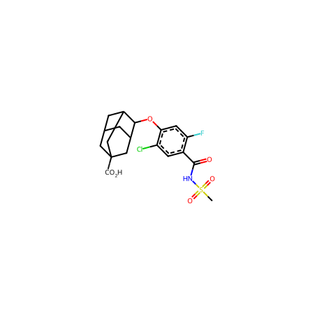 CS(=O)(=O)NC(=O)c1cc(Cl)c(OC2C3CC4CC2CC(C(=O)O)(C4)C3)cc1F